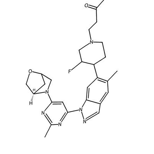 COC(=O)CCN1CCC(c2cc3c(cnn3-c3cc(N4CC5C[C@@H]4CO5)nc(C)n3)cc2C)C(F)C1